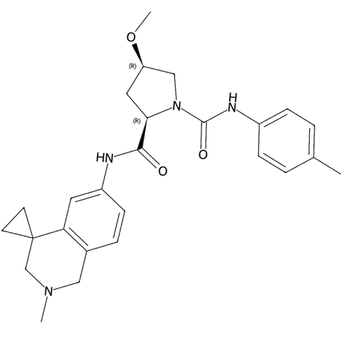 CO[C@@H]1C[C@H](C(=O)Nc2ccc3c(c2)C2(CC2)CN(C)C3)N(C(=O)Nc2ccc(C)cc2)C1